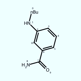 CCCCNc1cccc(C(N)=O)c1